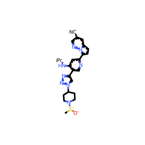 CC(C)Nc1cc(-c2ccc3cc(C#N)cnn23)ncc1-c1cn(C2CCN([S+](C)[O-])CC2)nn1